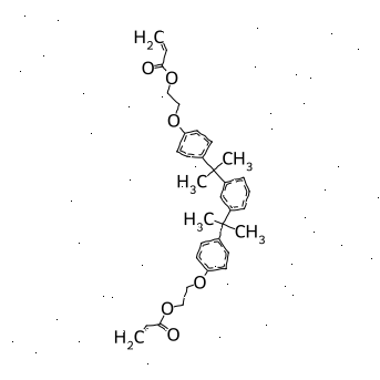 C=CC(=O)OCCOc1ccc(C(C)(C)c2cccc(C(C)(C)c3ccc(OCCOC(=O)C=C)cc3)c2)cc1